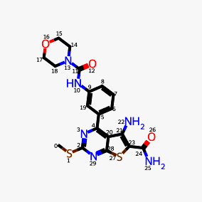 CSc1nc(-c2cccc(NC(=O)N3CCOCC3)c2)c2c(N)c(C(N)=O)sc2n1